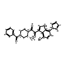 C[C@@H]1CN(C(=O)c2ccccc2)CCN1C(=O)C(=O)c1c[nH]c2c(-n3cccn3)ncc(Br)c12